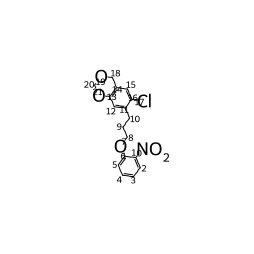 O=[N+]([O-])c1ccccc1OCCCc1cc2c(cc1Cl)COCO2